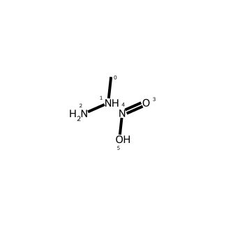 CNN.O=NO